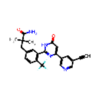 C#Cc1cncc(-c2cc(=O)[nH]c(-c3cc(CC(C)(C)C(N)=O)ccc3C(F)(F)F)n2)c1